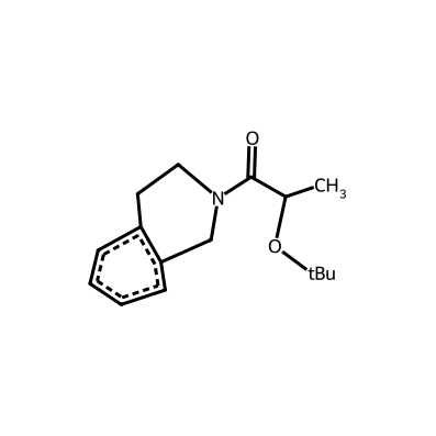 CC(OC(C)(C)C)C(=O)N1CCc2ccccc2C1